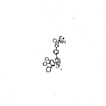 CCNC(=O)N1CC(c2ccc(C3=NOC(c4cc(Cl)c(Cl)c(Cl)c4)(C(F)(F)F)C3)cc2)C1